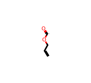 C=CCO[C]=O